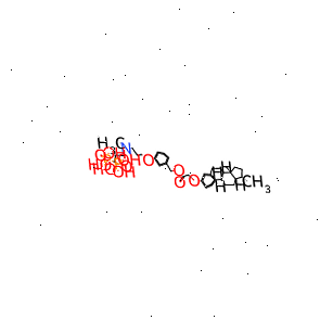 C[C@H]1CC[C@H]2[C@@H]3CCc4cc(OCC(=O)OCc5cccc(OCCCN(C)CCC(O)(P(=O)(O)O)P(=O)(O)O)c5)ccc4[C@H]3CC[C@@H]21